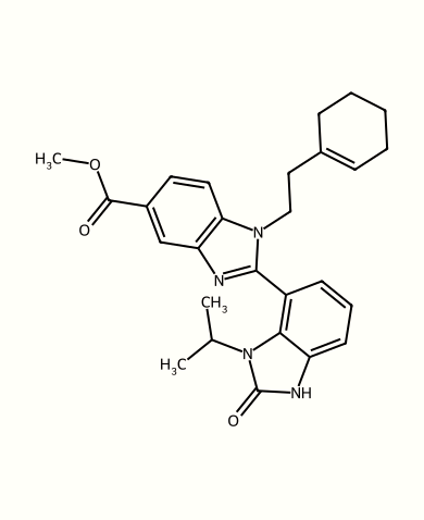 COC(=O)c1ccc2c(c1)nc(-c1cccc3[nH]c(=O)n(C(C)C)c13)n2CCC1=CCCCC1